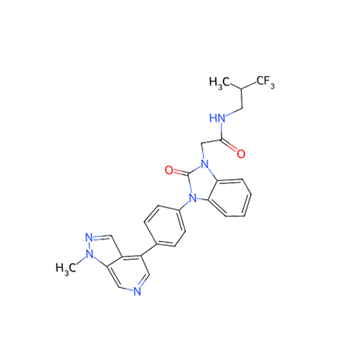 CC(CNC(=O)Cn1c(=O)n(-c2ccc(-c3cncc4c3cnn4C)cc2)c2ccccc21)C(F)(F)F